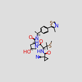 CSC(C)(C)[C@H](NC(=O)C1(C#N)CC1)C(=O)N1C[C@H](O)C[C@H]1C(=O)N[C@@H](C)c1ccc(-c2scnc2C)cc1